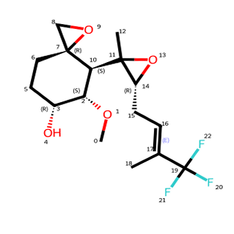 CO[C@@H]1[C@H](O)CC[C@]2(CO2)[C@H]1C1(C)O[C@@H]1C/C=C(\C)C(F)(F)F